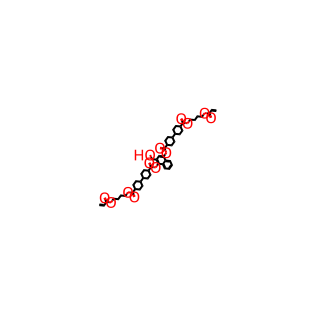 C=CC(=O)OCCCCOC(=O)C1CCC(C2CCC(C(=O)Oc3cc(CO)c(OC(=O)C4CCC(C5CCC(C(=O)OCCCCOC(=O)C=C)CC5)CC4)c4ccccc34)CC2)CC1